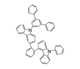 c1ccc(-c2cc(-c3ccccc3)cc(-n3c4ccccc4c4cc(-c5ccccc5-c5cccc6c5c5ccccc5n6-c5ccccc5)ccc43)c2)cc1